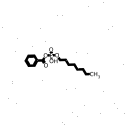 CCCCCCCCOP(=O)(O)OC(=O)c1ccccc1